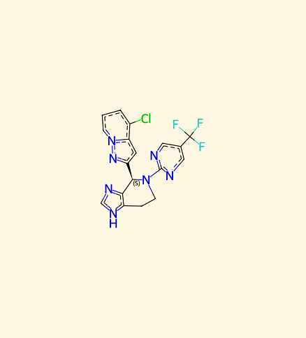 FC(F)(F)c1cnc(N2CCc3[nH]cnc3[C@H]2c2cc3c(Cl)cccn3n2)nc1